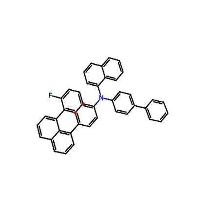 Fc1ccccc1-c1cccc2cccc(-c3ccc(N(c4ccc(-c5ccccc5)cc4)c4cccc5ccccc45)cc3)c12